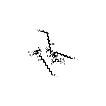 CCCC/C=C\CCCCCC(O)CCC(C(=O)[O-])C(C[N+](C)(C)C)OC(=CC(=O)OC(CC(=O)[O-])C[N+](C)(C)C)CCCCCCCCCCC.CCCCCCCCCC=CC(O)=CC(=O)OC(CC(=O)[O-])C[N+](C)(C)C